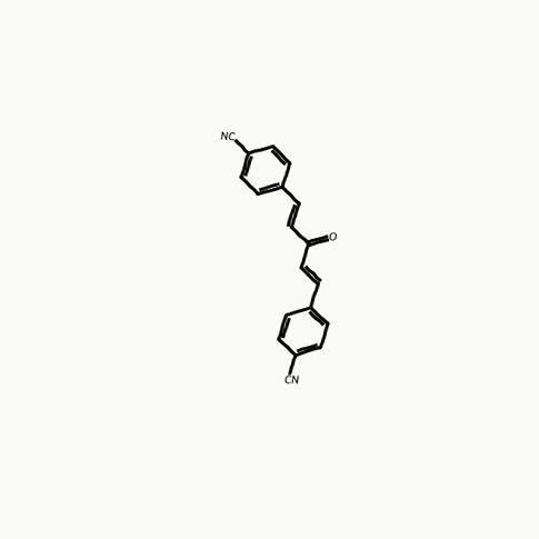 N#Cc1ccc(C=CC(=O)C=Cc2ccc(C#N)cc2)cc1